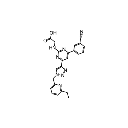 CCc1cccc(Cn2cc(-c3cc(-c4cccc(C#N)c4)nc(NCC(=O)O)n3)nn2)n1